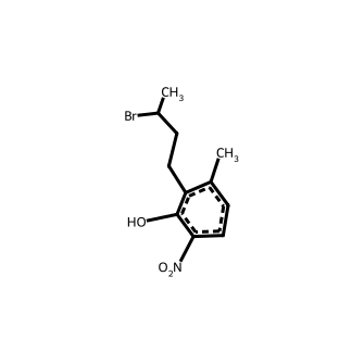 Cc1ccc([N+](=O)[O-])c(O)c1CCC(C)Br